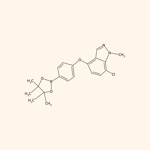 Cn1ncc2c(Oc3ccc(B4OC(C)(C)C(C)(C)O4)cc3)ccc(Cl)c21